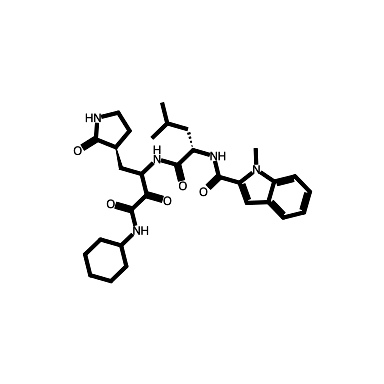 CC(C)C[C@H](NC(=O)c1cc2ccccc2n1C)C(=O)NC(C[C@@H]1CCNC1=O)C(=O)C(=O)NC1CCCCC1